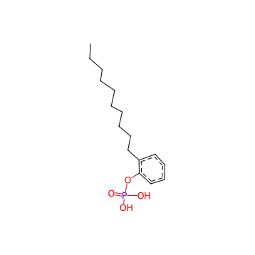 CCCCCCCCCCc1ccccc1OP(=O)(O)O